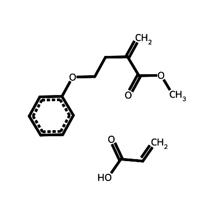 C=C(CCOc1ccccc1)C(=O)OC.C=CC(=O)O